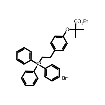 CCOC(=O)C(C)(C)Oc1ccc(CC[P+](c2ccccc2)(c2ccccc2)c2ccccc2)cc1.[Br-]